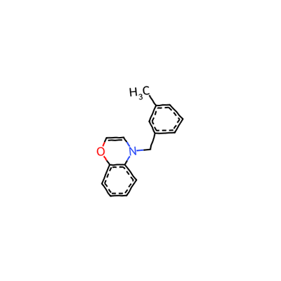 Cc1cccc(CN2C=COc3ccccc32)c1